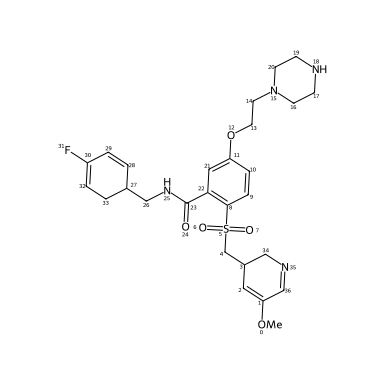 COC1=CC(CS(=O)(=O)c2ccc(OCCN3CCNCC3)cc2C(=O)NCC2C=CC(F)=CC2)CN=C1